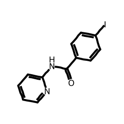 O=C(Nc1ccccn1)c1ccc(I)cc1